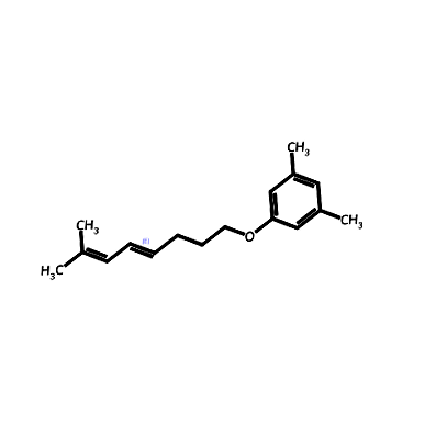 CC(C)=C/C=C/CCCOc1cc(C)cc(C)c1